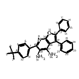 CC(C)(C)c1ccc(-c2nc3oc(-c4ccccc4)c(-c4ccccc4)c3c(N)c2N)cc1